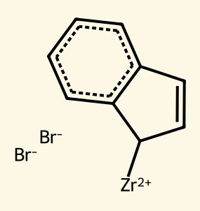 [Br-].[Br-].[Zr+2][CH]1C=Cc2ccccc21